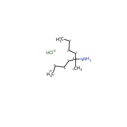 CCCCC(C)(N)CCCC.Cl